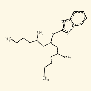 CCCCC(C)CN(CC(C)CCCC)Sc1nc2ccccc2s1